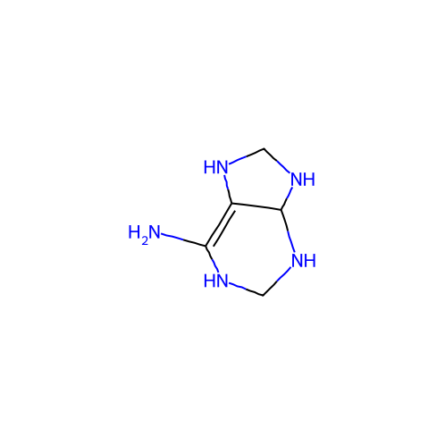 NC1=C2NCNC2NCN1